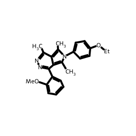 CCOc1ccc(-n2c(C)c3c(C)nnc(-c4ccccc4OC)c3c2C)cc1